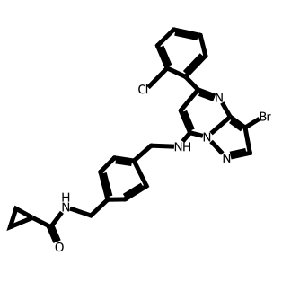 O=C(NCc1ccc(CNc2cc(-c3ccccc3Cl)nc3c(Br)cnn23)cc1)C1CC1